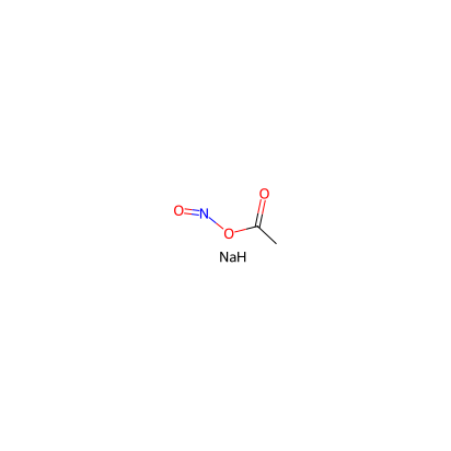 CC(=O)ON=O.[NaH]